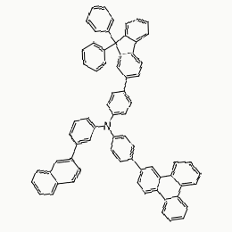 c1ccc(C2(c3ccccc3)c3ccccc3-c3ccc(-c4ccc(N(c5ccc(-c6ccc7c8ccccc8c8ccccc8c7c6)cc5)c5cccc(-c6ccc7ccccc7c6)c5)cc4)cc32)cc1